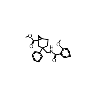 COC(=O)C12C=C1CCC(CNC(=O)c1ccccc1OC)(c1ccccc1)C2